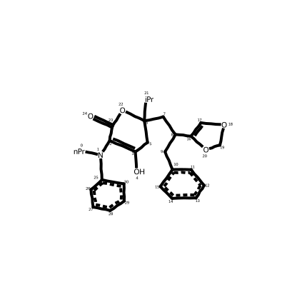 CCCN(C1=C(O)CC(CC(Cc2ccccc2)C2=COCO2)(C(C)C)OC1=O)c1ccccc1